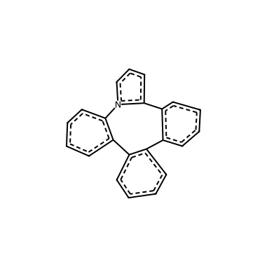 c1ccc2c(c1)-c1ccccc1-c1cccn1-c1ccccc1-2